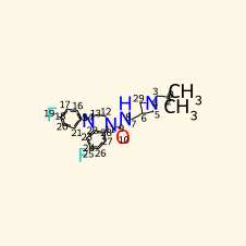 CC(C)CN1CC(CNC(=O)N2CCN(c3ccc(F)cc3)c3cc(F)ccc32)C1